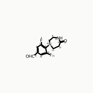 O=Cc1cc(F)c(N2CCNC(=O)CC2)c(F)c1